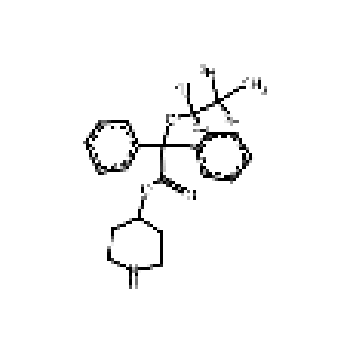 [2H]C([2H])(C)C([2H])([2H])OC(C(=O)OC1CCNCC1)(c1ccccc1)c1ccccc1